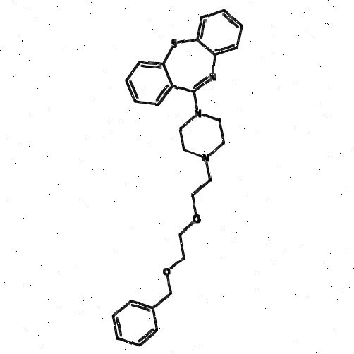 c1ccc(COCCOCCN2CCN(C3=Nc4ccccc4Sc4ccccc43)CC2)cc1